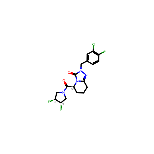 O=C([C@@H]1CCCc2nn(Cc3ccc(F)c(Cl)c3)c(=O)n21)N1C[C@@H](F)[C@@H](F)C1